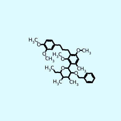 CCC1OC(c2c(C)cc(OC)c(CCCc3ccc(OC)c(OC)c3)c2OC)C(OCc2ccccc2)C(C)C1C